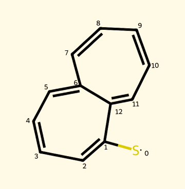 [S]C1=CC=CC=C2C=CC=CC=C12